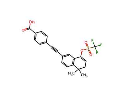 CC1(C)CC=C(OS(=O)(=O)C(F)(F)F)c2cc(C#Cc3ccc(C(=O)O)cc3)ccc21